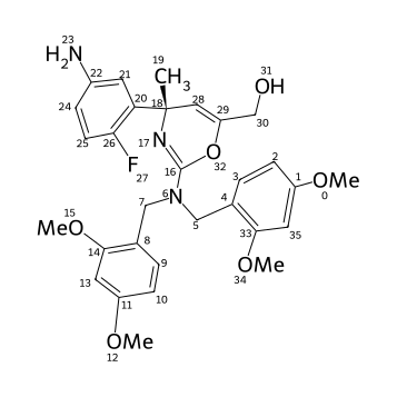 COc1ccc(CN(Cc2ccc(OC)cc2OC)C2=N[C@](C)(c3cc(N)ccc3F)C=C(CO)O2)c(OC)c1